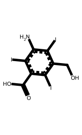 Nc1c(I)c(CO)c(I)c(C(=O)O)c1I